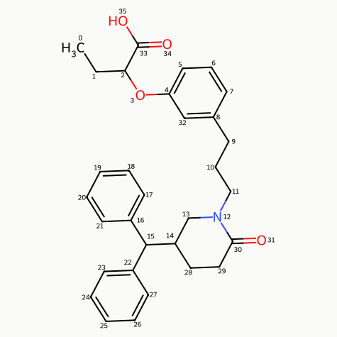 CCC(Oc1cccc(CCCN2CC(C(c3ccccc3)c3ccccc3)CCC2=O)c1)C(=O)O